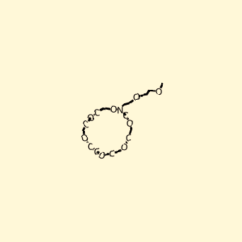 COCCOCCN1COCCOCCOCCOCCOCCO1